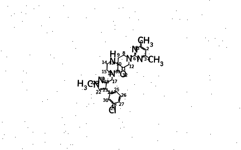 Cc1cc(C)nc(N2CCC3(CC2)NCCN(Cc2nn(C)cc2-c2cccc(Cl)c2)C3=O)n1